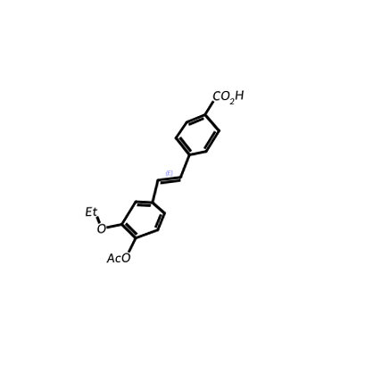 CCOc1cc(/C=C/c2ccc(C(=O)O)cc2)ccc1OC(C)=O